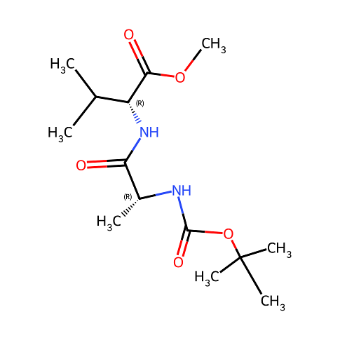 COC(=O)[C@H](NC(=O)[C@@H](C)NC(=O)OC(C)(C)C)C(C)C